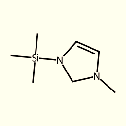 CN1C=CN([Si](C)(C)C)C1